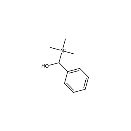 C[N+](C)(C)C(O)c1ccccc1